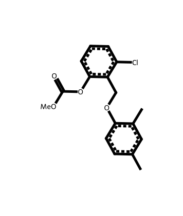 COC(=O)Oc1cccc(Cl)c1COc1ccc(C)cc1C